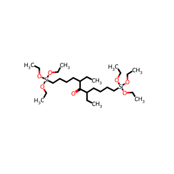 CCO[Si](CCCCC(CC)C(=O)C(CC)CCCC[Si](OCC)(OCC)OCC)(OCC)OCC